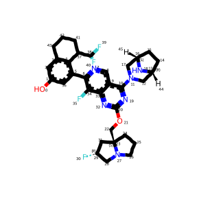 Oc1cc2c(c(-c3ncc4c(N5C[C@H]6CC[C@@H](C5)N6)nc(OC[C@@]56CCCN5C[C@H](F)C6)nc4c3F)c1)C(C(F)F)CCC2